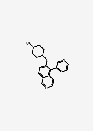 N[C@H]1CC[C@@H](Oc2ccc3cnccc3c2-c2cccnc2)CC1